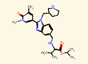 Cc1cc(-c2nc3cc(CNC(C(=O)OC(C)C)C(C)C)ccc3n2CC2CCCNC2)cn(C)c1=O